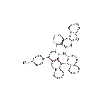 CC(C)(C)c1ccc(-c2ccc(N(c3ccc4c(c3)oc3ccccc34)c3ccc4ccccc4c3-c3cccc4ccccc34)c(-c3ccccc3)c2)cc1